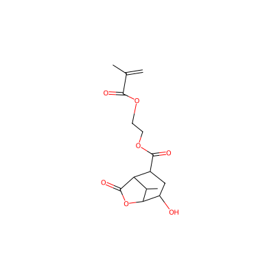 C=C(C)C(=O)OCCOC(=O)C1CC(O)C2OC(=O)C1C2C